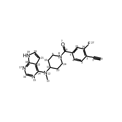 C#Cc1ccc(C(=O)N2CCC(N(C)c3ncnc4[nH]ccc34)CC2)cc1F